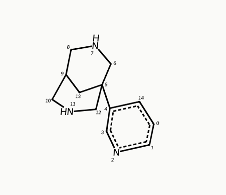 c1cncc(C23CNCC(CNC2)C3)c1